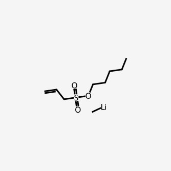 C=CCS(=O)(=O)OCCCCC.[Li][CH3]